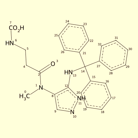 CN(C(=O)CCNC(=O)O)c1cn[nH]c1NC(c1ccccc1)(c1ccccc1)c1ccccc1